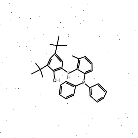 Cc1cccc(P(c2ccccc2)c2ccccc2)c1Pc1cc(C(C)(C)C)cc(C(C)(C)C)c1O